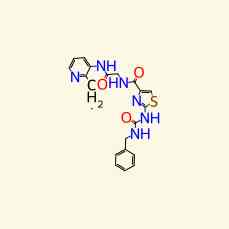 [CH2]c1ncccc1NC(=O)CNC(=O)c1csc(NC(=O)NCc2ccccc2)n1